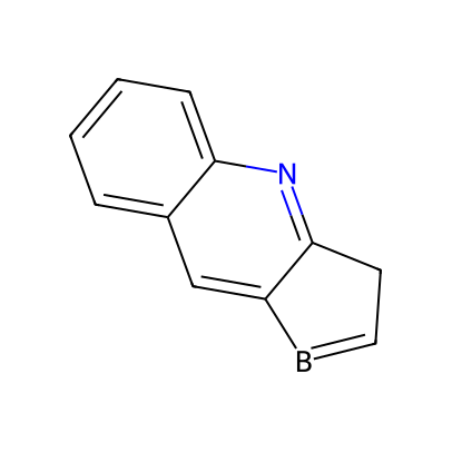 B1=CCc2nc3ccccc3cc21